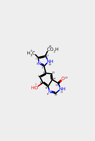 Cc1nc(-c2cc(O)c3nc[nH]c(=O)c3c2)[nH]c1C(=O)O